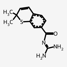 CC1(C)C=Cc2ccc(C(=O)N=C(N)N)cc2S1